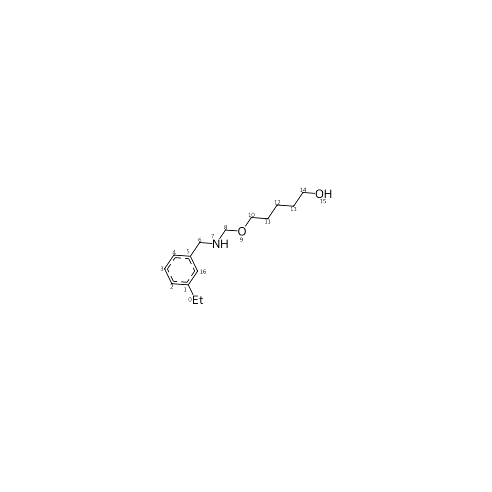 CCc1cccc(CNCOCCCCCO)c1